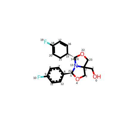 OCC12CO[C@@H](c3ccc(F)cc3)N1[C@H](C1C=CC(F)=CC1)OC2